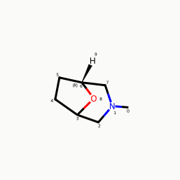 CN1CC2CC[C@H](C1)O2